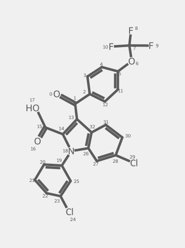 O=C(c1ccc(OC(F)(F)F)cc1)c1c(C(=O)O)n(-c2cccc(Cl)c2)c2cc(Cl)ccc12